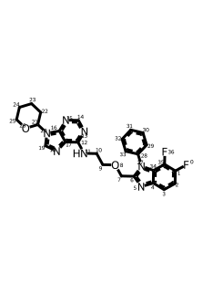 Fc1ccc2nc(COCCNc3ncnc4c3ncn4C3CCCCO3)n(-c3ccccc3)c2c1F